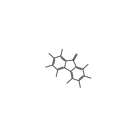 C=C1c2c(C)c(C)c(C)c(C)c2-c2c(C)c(C)c(C)c(C)c21